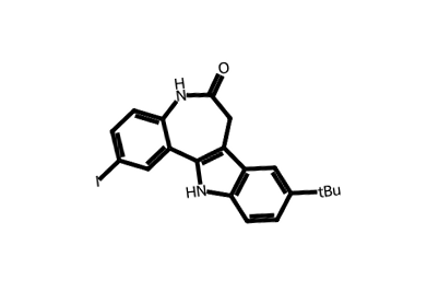 CC(C)(C)c1ccc2[nH]c3c(c2c1)CC(=O)Nc1ccc(I)cc1-3